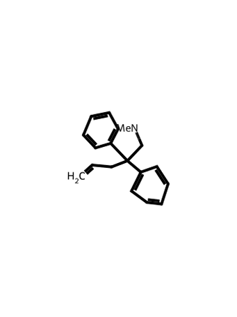 C=CCC(CNC)(c1ccccc1)c1ccccc1